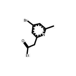 CCC(=O)Cc1cc(Br)cc(C)n1